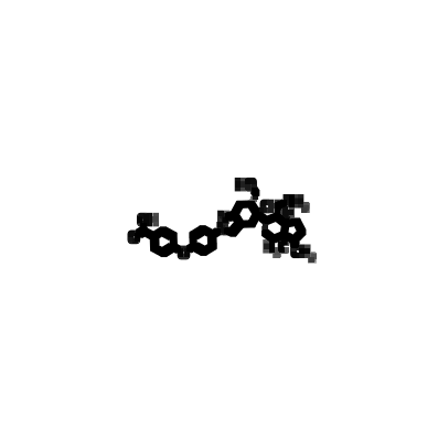 C=C1CC[C@H]2[C@H](CN)[C@@H]([C@@]3(C)Cc4cn(-c5ccc(Oc6ccc(C(=O)O)cc6)cc5)nc4C[C@@H]3CO)CC[C@]12C